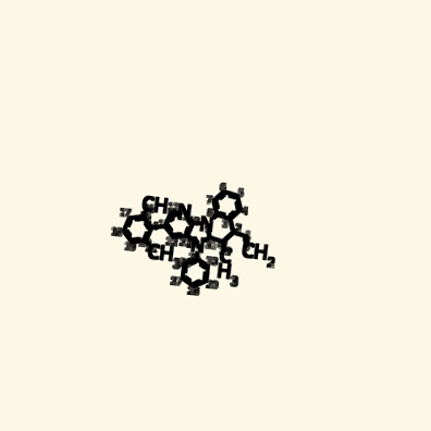 C=CC1c2ccccc2N2c3ncc(-c4c(C)cccc4C)cc3N(c3ccccc3)C2C1C